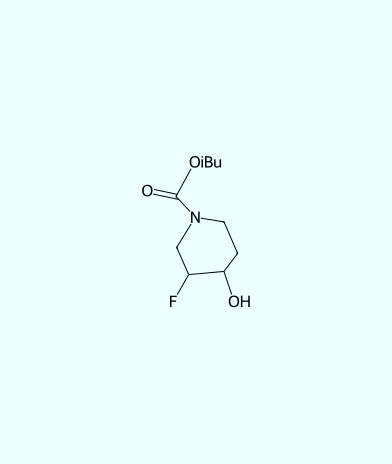 CC(C)COC(=O)N1CCC(O)C(F)C1